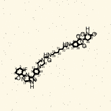 COc1cccc(F)c1-c1ncc2[nH]nc(-c3ccc(N4CCN(CC(=O)NCCCCCCCNc5ccc6c(c5)C(=O)N(C5CCC(=O)NC5=O)C6=O)CC4)cc3)c2n1